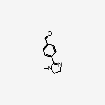 CN1CCN=C1c1ccc(C=O)cc1